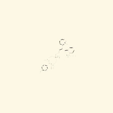 COC1C=CC=C2Oc3ncccc3C(=CCCC3(N)CCNC(c4ccc(Cl)cc4)NCC3)C=C21